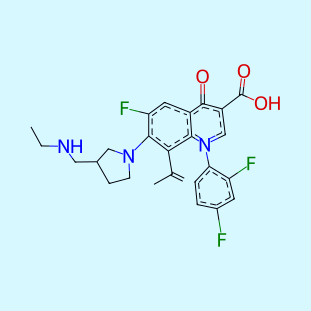 C=C(C)c1c(N2CCC(CNCC)C2)c(F)cc2c(=O)c(C(=O)O)cn(-c3ccc(F)cc3F)c12